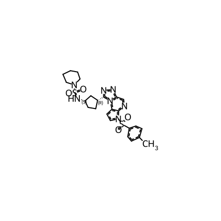 Cc1ccc(S(=O)(=O)n2ccc3c2ncc2nnc([C@@H]4CC[C@H](NS(=O)(=O)N5CCCCC5)C4)n23)cc1